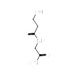 NC(=O)CNC(=O)CCO